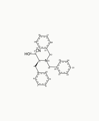 N#C[C@@H](O)[C@H](Cc1ccccc1)N(Cc1ccccc1)Cc1ccccc1